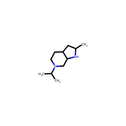 CC1CC2CCN(C(C)C)CC2N1